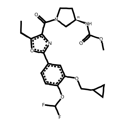 CCc1oc(-c2ccc(OC(F)F)c(OCC3CC3)c2)nc1C(=O)N1CC[C@@H](NC(=O)OC)C1